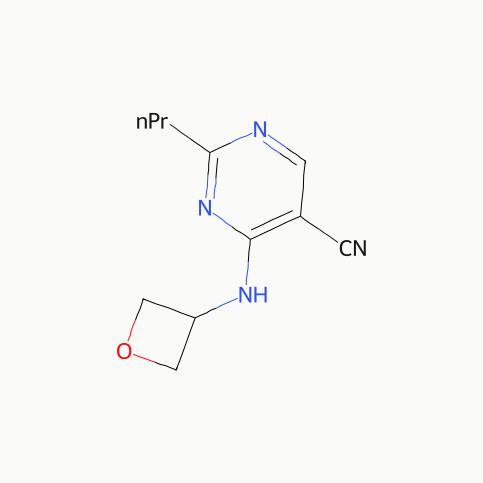 CCCc1ncc(C#N)c(NC2COC2)n1